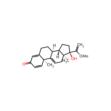 C=C(OC)[C@@]1(O)CC[C@H]2[C@@H]3CCC4=CC(=O)C=C[C@]4(C)C3=CC[C@@]21C